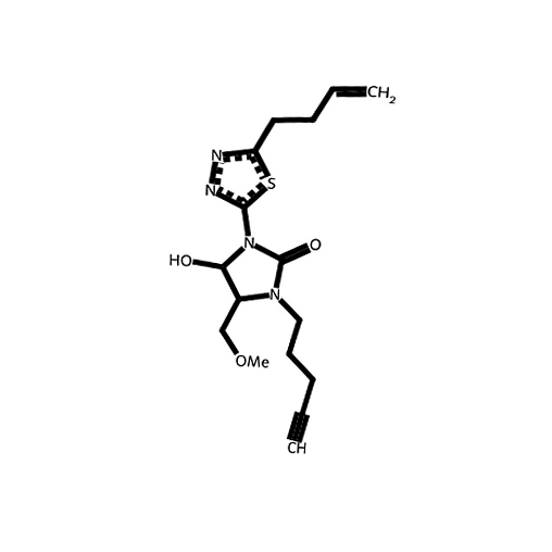 C#CCCCN1C(=O)N(c2nnc(CCC=C)s2)C(O)C1COC